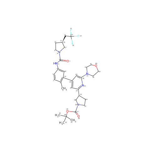 Cc1ccc(NC(=O)N2CC[C@@H](CC(F)(F)F)C2)cc1-c1cc(C2CCN(C(=O)OC(C)(C)C)C2)nc(N2CCOCC2)c1